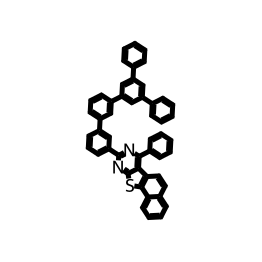 c1ccc(-c2cc(-c3ccccc3)cc(-c3cccc(-c4cccc(-c5nc(-c6ccccc6)c6c(n5)sc5c7ccccc7ccc56)c4)c3)c2)cc1